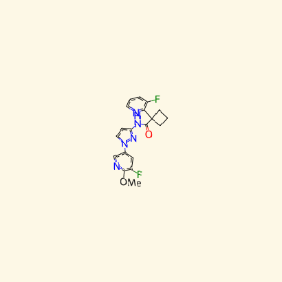 COc1ncc(-n2ccc(NC(=O)C3(c4ncccc4F)CCC3)n2)cc1F